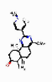 C=N/C=C\C(=C/C)c1nc(OC)c2c(n1)[C@]1(C)CCC(=O)[C@H](C)[C@H]1CC2